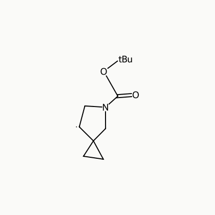 CC(C)(C)OC(=O)N1C[CH]C2(CC2)C1